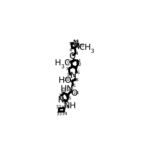 Cc1c(OCc2ccnn2C)ccc2c1CCN(C[C@@H](O)CNC(=O)c1ccnc(NC3CCC3)c1)C2